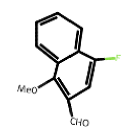 COc1c(C=O)cc(F)c2ccccc12